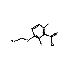 CCCCCCCCCOc1ccc(F)c(C(N)=O)c1F